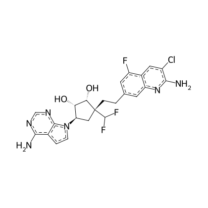 Nc1nc2cc(CC[C@@]3(C(F)F)C[C@@H](n4ccc5c(N)ncnc54)[C@H](O)[C@@H]3O)cc(F)c2cc1Cl